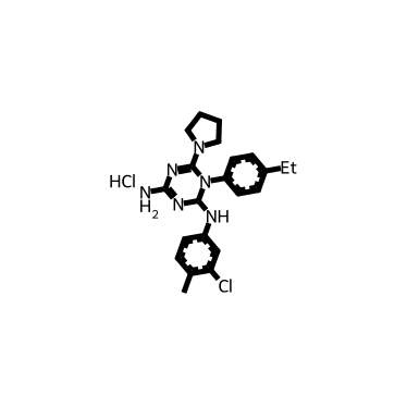 CCc1ccc(N2C(N3CCCC3)=NC(N)=NC2Nc2ccc(C)c(Cl)c2)cc1.Cl